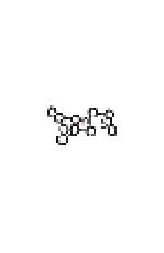 c1cc(-c2cccc3c2sc2ccccc23)cc(N(c2ccc(-c3ccc4ccccc4c3)cc2)c2ccccc2-c2ccc3oc4ccccc4c3c2)c1